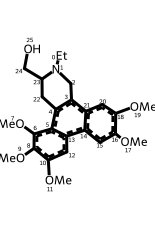 CCN1Cc2c(c3c(OC)c(OC)c(OC)cc3c3cc(OC)c(OC)cc23)CC1CO